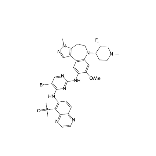 COc1cc2c(cc1Nc1ncc(Br)c(Nc3ccc4nccnc4c3P(C)(C)=O)n1)-c1cnn(C)c1CCN2[C@H]1CCN(C)C[C@H]1F